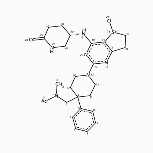 CC(=O)N(C)CC1(c2ccccc2)CCN(c2nc3c(c(N[C@H]4CCC(=O)NC4)n2)[S+]([O-])CC3)CC1